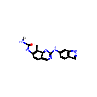 CCNC(=O)Nc1ccc2cnc(Nc3ccc4cn[nH]c4c3)nc2c1C